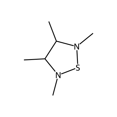 CC1C(C)N(C)SN1C